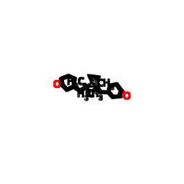 CC(C)(CC1CCC2OC2C1)[Si]1(C(C)(C)CC2CCC3OC3C2)CC1